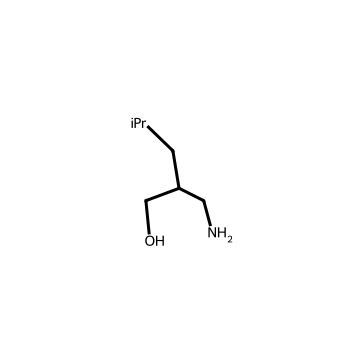 [CH2]C(C)CC(CN)CO